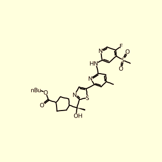 CCCCOC(=O)C1CCC([C@@](C)(O)c2ncc(-c3cc(C)cc(Nc4cc(S(C)(=O)=O)c(F)cn4)n3)s2)CC1